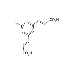 Cc1cc(/C=C/C(=O)O)cc(/C=C/C(=O)O)c1